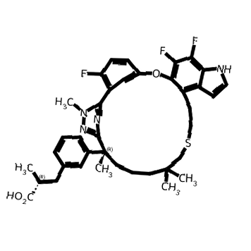 C[C@H](Cc1cccc([C@@]2(C)CCCC(C)(C)CSCCc3c(c(F)c(F)c4[nH]ccc34)Oc3ccc(F)c(c3)-c3nc2nn3C)c1)C(=O)O